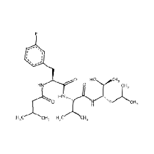 CC(C)CC(=O)N[C@@H](Cc1cccc(F)c1)C(=O)N[C@H](C(=O)N[C@@H](CC(C)C)[C@H](C)O)C(C)C